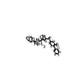 CC(c1ccc(-c2ccccc2)c(F)c1)c1cc(C/N=C(\N)N2CCOCC2)on1